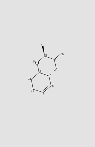 CC(C)[C@H](C)OC1CC=CCC1